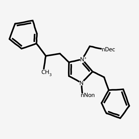 CCCCCCCCCCC[n+]1c(CC(C)c2ccccc2)cn(CCCCCCCCC)c1Cc1ccccc1